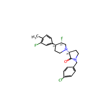 Cc1ccc([C@@H]2CCN([C@@H]3CCN(Cc4ccc(Cl)cc4)C3=O)C[C@H]2F)cc1F